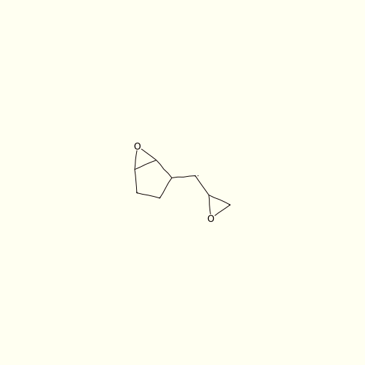 [CH](C1CO1)C1CCC2OC12